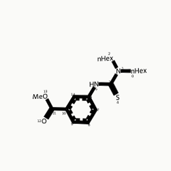 CCCCCCN(CCCCCC)C(=S)Nc1cccc(C(=O)OC)c1